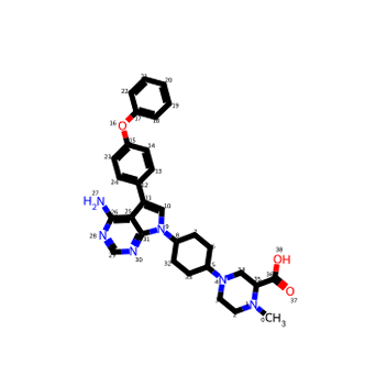 CN1CCN(C2CCC(n3cc(-c4ccc(Oc5ccccc5)cc4)c4c(N)ncnc43)CC2)CC1C(=O)O